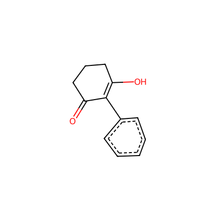 O=C1CCCC(O)=C1c1ccccc1